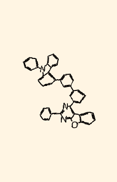 c1ccc(-c2nc(-c3cccc(-c4cccc(-c5cccc6c5c5ccccc5n6-c5ccccc5)c4)c3)c3c(n2)oc2ccccc23)cc1